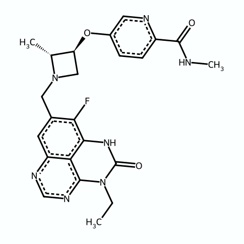 CCN1C(=O)Nc2c(F)c(CN3C[C@H](Oc4ccc(C(=O)NC)nc4)[C@H]3C)cc3ncnc1c23